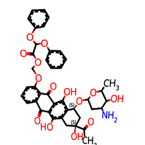 CC(=O)[C@]1(O)Cc2c(O)c3c(c(O)c2[C@@H](OC2CC(N)C(O)C(C)O2)C1)C(=O)c1c(OCOC(=O)C(Oc2ccccc2)Oc2ccccc2)cccc1C3=O